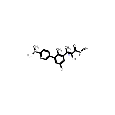 CCCNC(=O)/C(C)=C(\C)c1cc(Cl)cc(-c2ccc(N(C)C)nc2)c1C